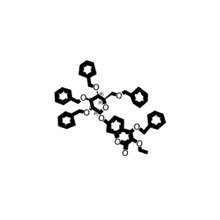 CCOc1c(OCc2ccccc2)c2ccc(O[C@H]3O[C@H](COCc4ccccc4)[C@@H](OCc4ccccc4)[C@H](OCc4ccccc4)[C@@H]3OCc3ccccc3)cc2oc1=O